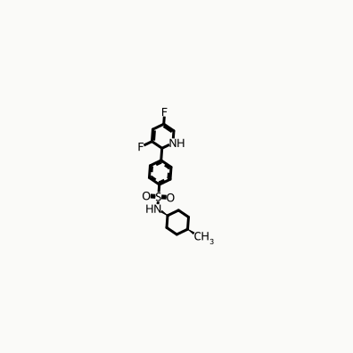 C[C@H]1CC[C@@H](NS(=O)(=O)c2ccc(C3NC=C(F)C=C3F)cc2)CC1